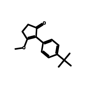 COC1=C(c2ccc(C(C)(C)C)cc2)C(=O)CC1